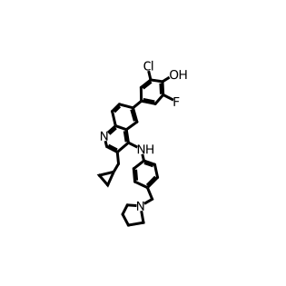 Oc1c(F)cc(-c2ccc3ncc(CC4CC4)c(Nc4ccc(CN5CCCC5)cc4)c3c2)cc1Cl